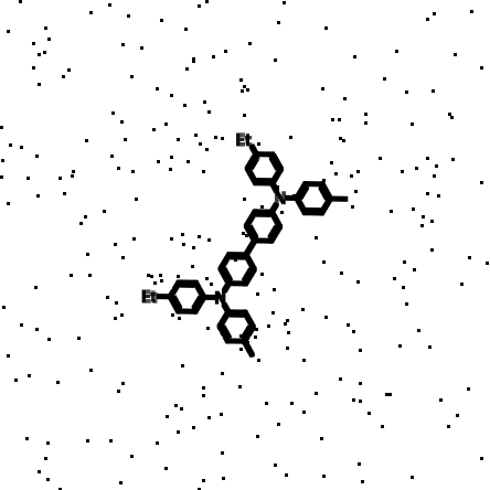 CCc1ccc(N(c2ccc(C)cc2)c2ccc(-c3ccc(N(c4ccc(C)cc4)c4ccc(CC)cc4)cc3)cc2)cc1